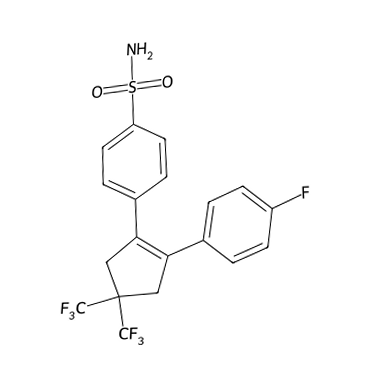 NS(=O)(=O)c1ccc(C2=C(c3ccc(F)cc3)CC(C(F)(F)F)(C(F)(F)F)C2)cc1